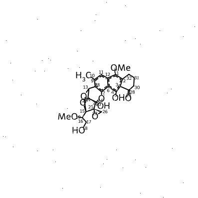 COc1c2c(c(O)c3c4c(c(C)cc13)C1OC3(C(CO)OC)OC1[C@](O)(O4)[C@@]31CO1)C(=O)CCC2